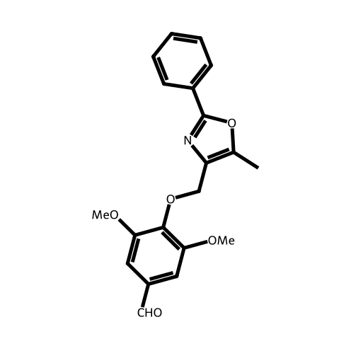 COc1cc(C=O)cc(OC)c1OCc1nc(-c2ccccc2)oc1C